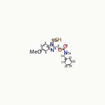 COc1ccc2c(c1)nc(COC(=O)N(C)Cc1ccccc1)n2SS